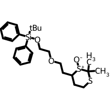 CC1(C)SCCC(CCOCCO[Si](c2ccccc2)(c2ccccc2)C(C)(C)C)[S+]1[O-]